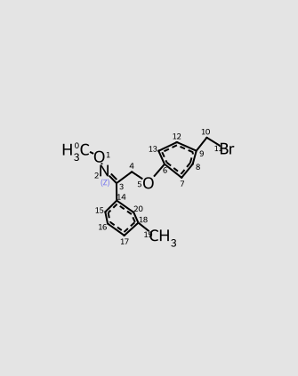 CO/N=C(\COc1ccc(CBr)cc1)c1cccc(C)c1